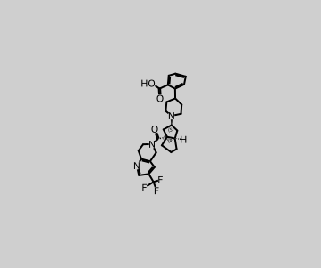 O=C(O)c1ccccc1C1CCN([C@H]2C[C@H]3CCC[C@@]3(C(=O)N3CCc4ncc(C(F)(F)F)cc4C3)C2)CC1